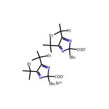 CCC(C)(C)C1=NC(C(=O)[O-])(C(C)(C)C)N=C1C(C)(C)CC.CCC(C)(C)C1=NC(C(=O)[O-])(C(C)(C)C)N=C1C(C)(C)CC.[Sr+2]